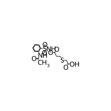 CC(=O)Nc1ccccc1S(=O)(=O)NOC(=O)CCSCC(=O)O